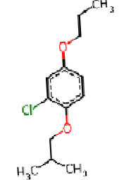 CCCOc1ccc(OCC(C)C)c(Cl)c1